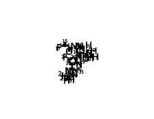 [2H]C([2H])([2H])NC(=O)c1nnc(NC(=O)[C@@H]2C[C@H]2F)cc1Nc1cc(F)cc2c1N(C)[C@H](C)c1nn(C([2H])([2H])[2H])nc1-2